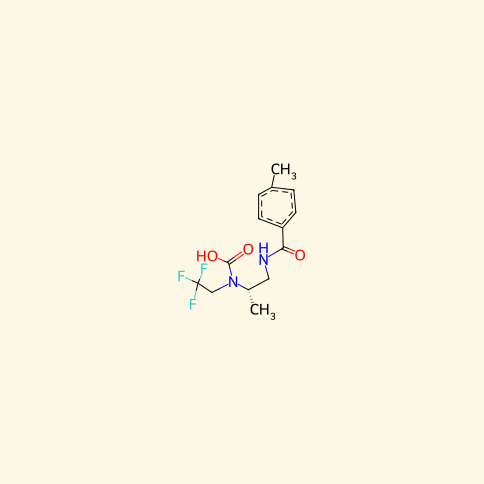 Cc1ccc(C(=O)NC[C@H](C)N(CC(F)(F)F)C(=O)O)cc1